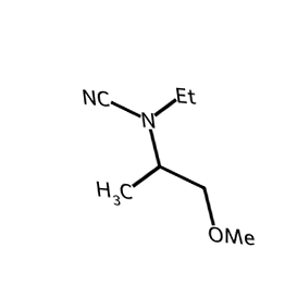 CCN(C#N)C(C)COC